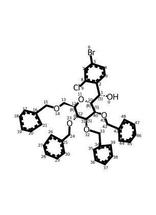 O[C@@H](c1ccc(Br)cc1Cl)[C@H]1O[C@H](COCc2ccccc2)[C@@H](OCc2ccccc2)[C@H](OCc2ccccc2)[C@@H]1OCc1ccccc1